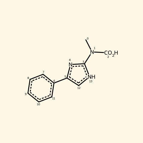 CN(C(=O)O)c1nc(-c2ccccc2)c[nH]1